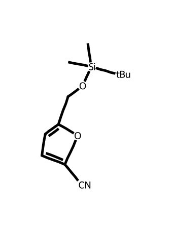 CC(C)(C)[Si](C)(C)OCc1ccc(C#N)o1